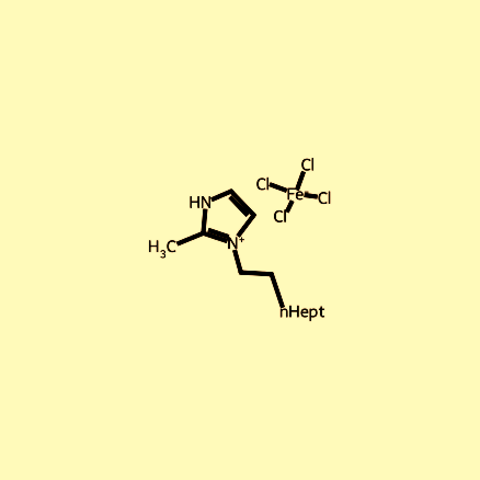 CCCCCCCCC[n+]1cc[nH]c1C.[Cl][Fe-]([Cl])([Cl])[Cl]